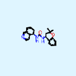 CC1(C)CC(NC(=O)Nc2cccc3cnccc23)c2ccccc2O1